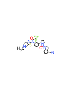 CN1CCc2nc(N(C(=O)C(F)(F)F)c3cccc([C@H]4CCCN4C(=O)N4CCc5c(C#N)cccc54)c3)sc2C1